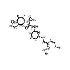 CC/C=C\C(=C/Cc1cccc(NC(=O)C2(c3ccc4c(c3)OCO4)CC2)n1)OCC